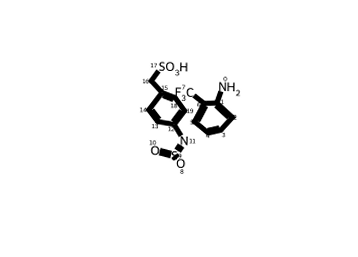 Nc1ccccc1C(F)(F)F.O=S(=O)=Nc1ccc(CS(=O)(=O)O)cc1